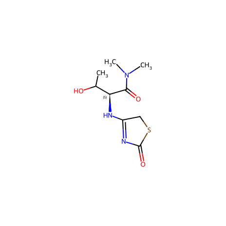 CC(O)[C@H](NC1=NC(=O)SC1)C(=O)N(C)C